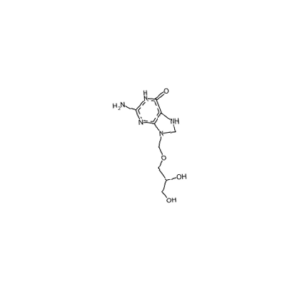 Nc1nc2c(c(=O)[nH]1)NCN2COCC(O)CO